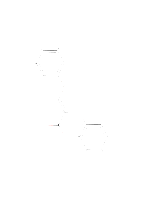 O=C(O)C(=CSc1ccccc1)Sc1ccccc1